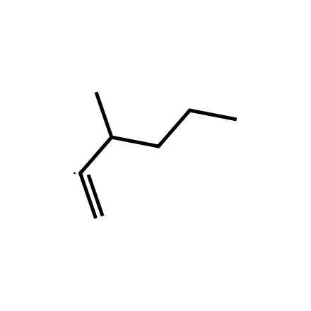 C=[C]C(C)CCC